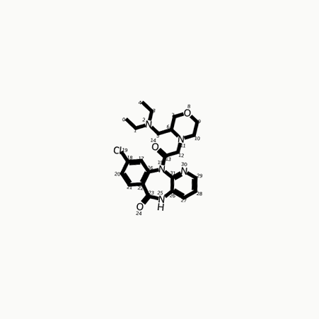 CCN(CC)CC1COCCN1CC(=O)N1c2cc(Cl)ccc2C(=O)Nc2cccnc21